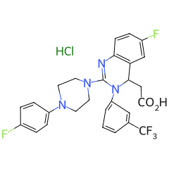 Cl.O=C(O)CC1c2cc(F)ccc2N=C(N2CCN(c3ccc(F)cc3)CC2)N1c1cccc(C(F)(F)F)c1